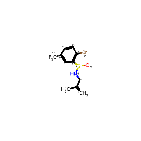 C=C(C)CN[S+]([O-])c1cc(C(F)(F)F)ccc1Br